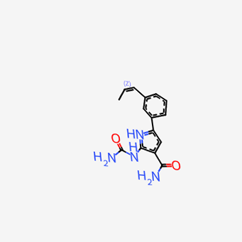 C/C=C\c1cccc(-c2cc(C(N)=O)c(NC(N)=O)[nH]2)c1